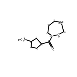 O=C(C1CCC(S(=O)(=O)O)C1)N1CCCNCC1